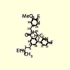 CCN(C)CCc1cc2c(c(-c3ccc(F)nc3C)c1)CCN(Cc1cnc(F)c(OC)c1)C2=O